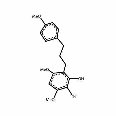 COc1ccc(CCCc2c(OC)cc(OC)c(C(C)C)c2O)cc1